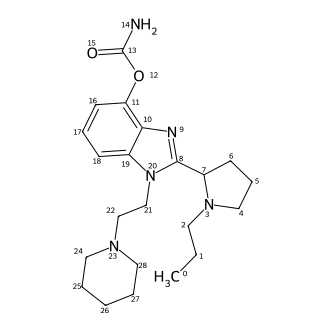 CCCN1CCCC1c1nc2c(OC(N)=O)cccc2n1CCN1CCCCC1